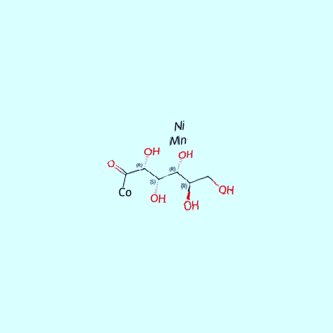 O=[C]([Co])[C@H](O)[C@@H](O)[C@H](O)[C@H](O)CO.[Mn].[Ni]